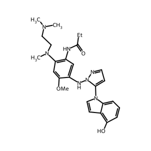 CCC(=O)Nc1cc(Nn2nccc2-n2ccc3c(O)cccc32)c(OC)cc1N(C)CCN(C)C